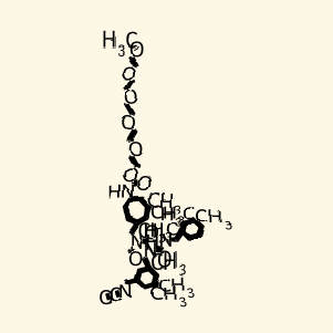 COCCOCCOCCOCCOCCOC(=O)NC1CCC(C)(CN(C=O)C(=O)N(CC2(C)CC(CN=C=O)CC(C)(C)C2)C(=O)NCC2(C)CCCC(C)(C)C2)CC(C)(C)C1